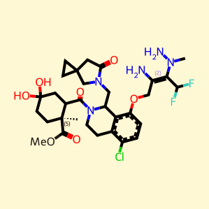 COC(=O)[C@@]1(C)CCC(O)(O)CC1C(=O)N1CCc2c(Cl)ccc(OC/C(N)=C(\C(F)F)N(C)N)c2C1CN1CC2(CC2)CC1=O